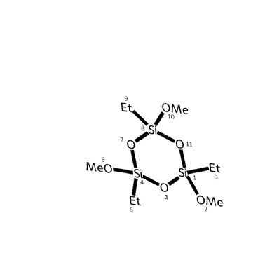 CC[Si]1(OC)O[Si](CC)(OC)O[Si](CC)(OC)O1